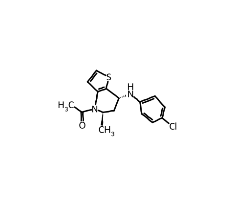 CC(=O)N1c2ccsc2[C@H](Nc2ccc(Cl)cc2)C[C@H]1C